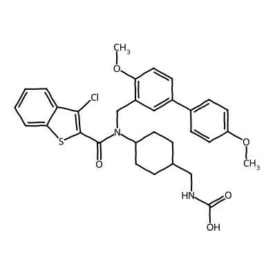 COc1ccc(-c2ccc(OC)c(CN(C(=O)c3sc4ccccc4c3Cl)C3CCC(CNC(=O)O)CC3)c2)cc1